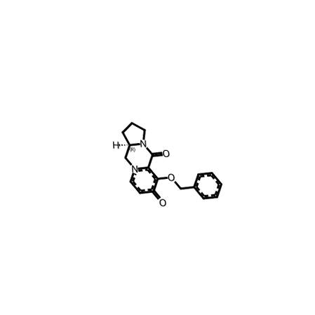 O=C1c2c(OCc3ccccc3)c(=O)ccn2C[C@H]2CCCN12